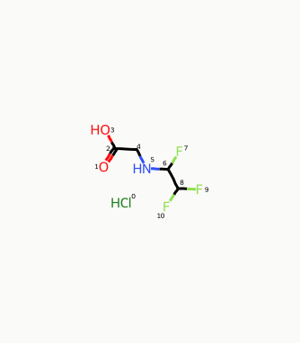 Cl.O=C(O)CNC(F)C(F)F